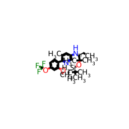 CC[C@H](Nc1cnc(-c2ccc(OC(F)(F)F)cc2OC)c(C)c1)C(C)(C)O[SiH2]C(C)(C)C